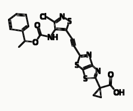 CC(OC(=O)Nc1c(Cl)nsc1C#Cc1nc2nc(C3(C(=O)O)CC3)sc2s1)c1ccccc1